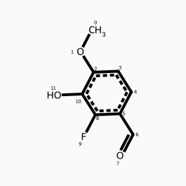 COc1ccc(C=O)c(F)c1O